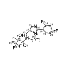 C[C@H]1CN(C(=O)C(C)(O)C(F)(F)F)Cc2cnc(-c3ccc(F)cc3F)n21